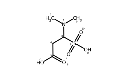 CN(C)C(CC(=O)O)S(=O)(=O)O